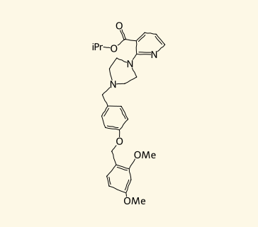 COc1ccc(COc2ccc(CN3CCN(c4ncccc4C(=O)OC(C)C)CC3)cc2)c(OC)c1